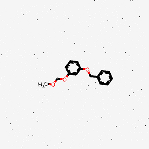 COCOc1[c]ccc(OCc2ccccc2)c1